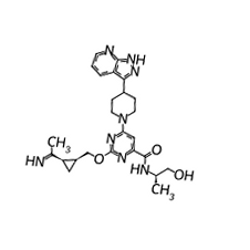 CC(=N)[C@@H]1C[C@@H]1COc1nc(C(=O)N[C@H](C)CO)cc(N2CCC(c3n[nH]c4ncccc34)CC2)n1